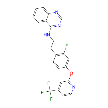 Fc1cc(Oc2cc(C(F)(F)F)ccn2)ccc1CCNc1ncnc2ccccc12